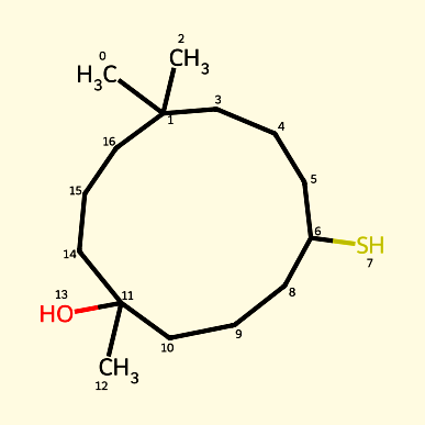 CC1(C)CCCC(S)CCCC(C)(O)CCC1